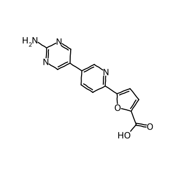 Nc1ncc(-c2ccc(-c3ccc(C(=O)O)o3)nc2)cn1